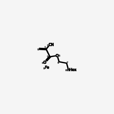 C=C(C#N)C(=O)OCCCCCCCC.[Fe]